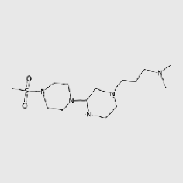 CN(C)CCCN1CC[N]C(N2CCN(S(C)(=O)=O)CC2)C1